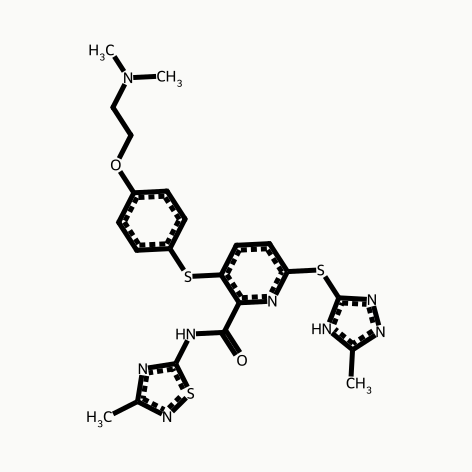 Cc1nsc(NC(=O)c2nc(Sc3nnc(C)[nH]3)ccc2Sc2ccc(OCCN(C)C)cc2)n1